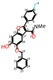 CNC(=O)c1c(-c2ccc(F)cc2)oc2cc(O)c(OCc3ccccc3)cc12